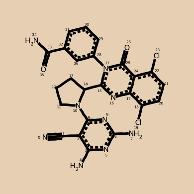 N#Cc1c(N)nc(N)nc1N1CCCC1c1nc2c(Cl)ccc(Cl)c2c(=O)n1-c1cccc(C(N)=O)c1